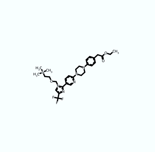 CCOC(=O)Cc1ccc(N2CCN(c3ccc(-c4nc(C(F)(F)F)cn4COCC[Si](C)(C)C)cn3)CC2)cc1